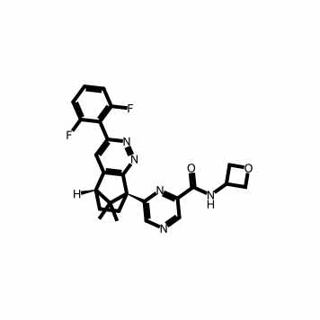 CC1(C)[C@@H]2CC[C@@]1(c1cncc(C(=O)NC3COC3)n1)c1nnc(-c3c(F)cccc3F)cc12